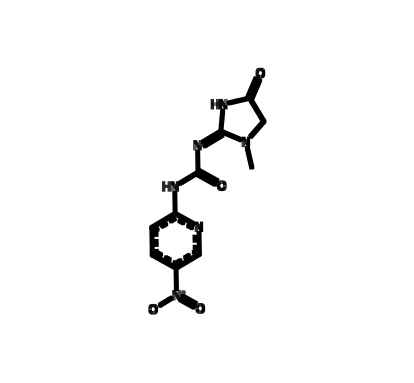 CN1CC(=O)NC1=NC(=O)Nc1ccc([N+](=O)[O-])cn1